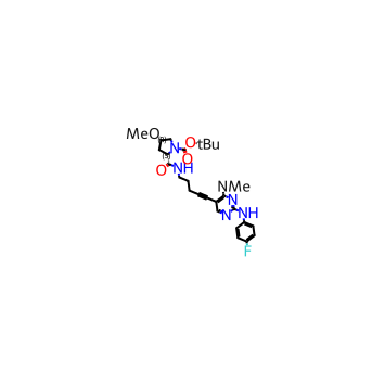 CNc1nc(Nc2ccc(F)cc2)ncc1C#CCCCNC(=O)[C@@H]1C[C@@H](OC)CN1C(=O)OC(C)(C)C